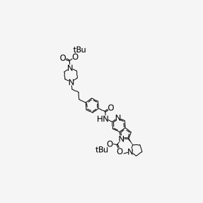 CN1CCC[C@@H]1c1cc2cnc(NC(=O)c3ccc(CCCN4CCN(C(=O)OC(C)(C)C)CC4)cc3)cc2n1C(=O)OC(C)(C)C